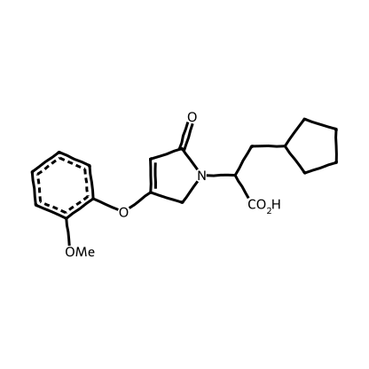 COc1ccccc1OC1=CC(=O)N(C(CC2CCCC2)C(=O)O)C1